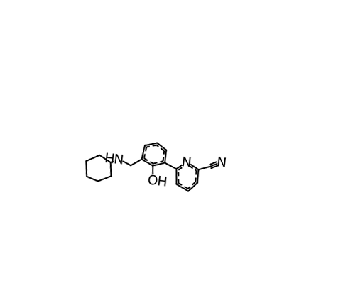 N#Cc1cccc(-c2cccc(CNC3CCCCC3)c2O)n1